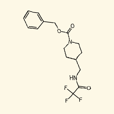 O=C(OCc1ccccc1)N1CCC(CNC(=O)C(F)(F)F)CC1